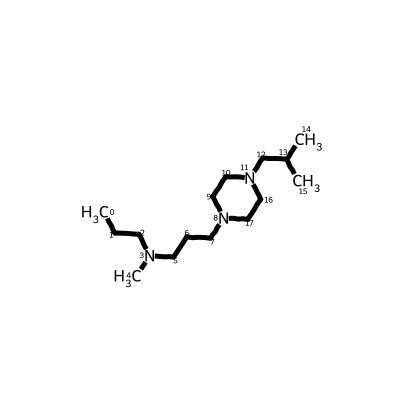 CCCN(C)CCCN1CCN(CC(C)C)CC1